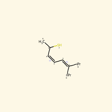 CCC/C(=C\C=C/C(C)S)C(C)C